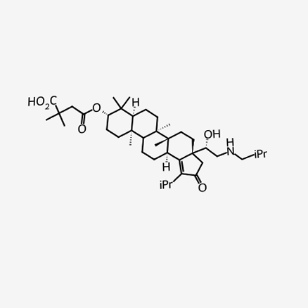 CC(C)CNC[C@@H](O)[C@@]12CC[C@]3(C)[C@H](CCC4[C@@]5(C)CC[C@H](OC(=O)CC(C)(C)C(=O)O)C(C)(C)[C@H]5CC[C@]43C)C1=C(C(C)C)C(=O)C2